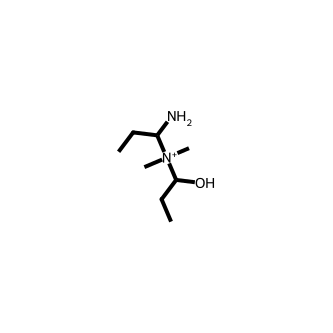 CCC(N)[N+](C)(C)C(O)CC